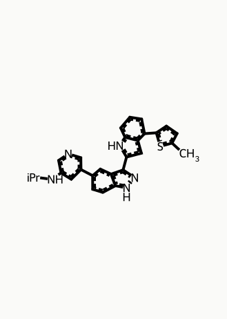 Cc1ccc(-c2cccc3[nH]c(-c4n[nH]c5ccc(-c6cncc(NC(C)C)c6)cc45)cc23)s1